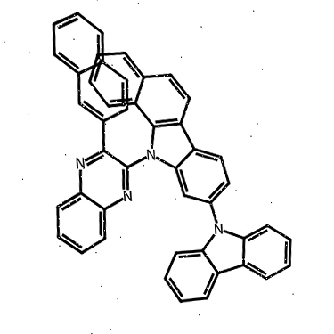 c1ccc2cc(-c3nc4ccccc4nc3-n3c4cc(-n5c6ccccc6c6ccccc65)ccc4c4ccc5ccccc5c43)ccc2c1